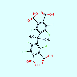 CC(C)(c1c(F)c(F)c(C(=O)O)c(C(=O)O)c1F)c1c(F)c(F)c(C(=O)O)c(C(=O)O)c1F